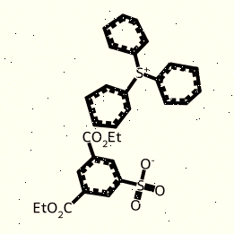 CCOC(=O)c1cc(C(=O)OCC)cc(S(=O)(=O)[O-])c1.c1ccc([S+](c2ccccc2)c2ccccc2)cc1